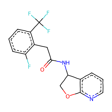 O=C(Cc1c(F)cccc1C(F)(F)F)NC1COc2ncccc21